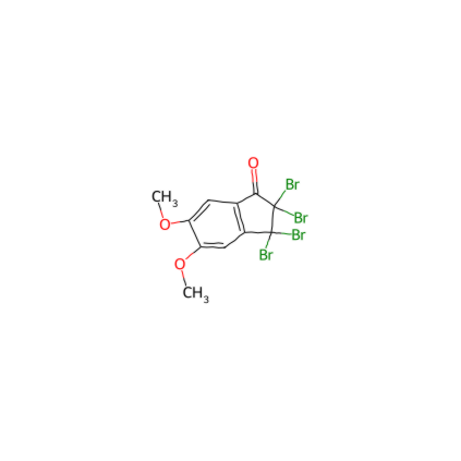 COc1cc2c(cc1OC)C(Br)(Br)C(Br)(Br)C2=O